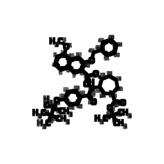 COc1cccc2cc(C(=O)O[C@@H]3CCCN(C(=O)OC(C)(C)C)C[C@H]3NC(=O)c3ccc(O[Si](C)(C)C(C)(C)C)cc3)c(OCc3ccccc3)cc12